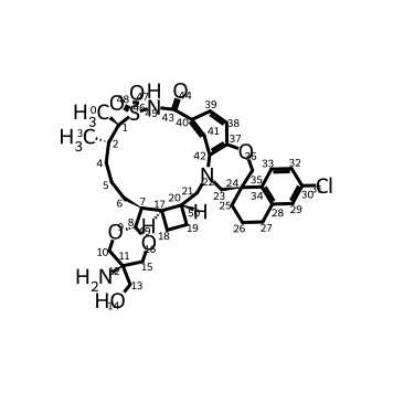 C[C@@H]1[C@@H](C)CCC[C@H]([C@H]2OC[C@@](N)(CO)CO2)[C@@H]2CC[C@H]2CN2C[C@@]3(CCCc4cc(Cl)ccc43)COc3ccc(cc32)C(=O)NS1(=O)=O